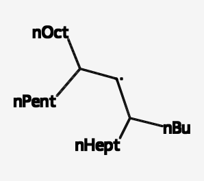 CCCCCCCCC([CH]C(CCCC)CCCCCCC)CCCCC